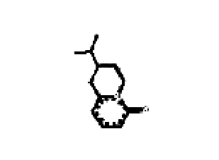 CC(C)C1CCn2c(cccc2=O)C1